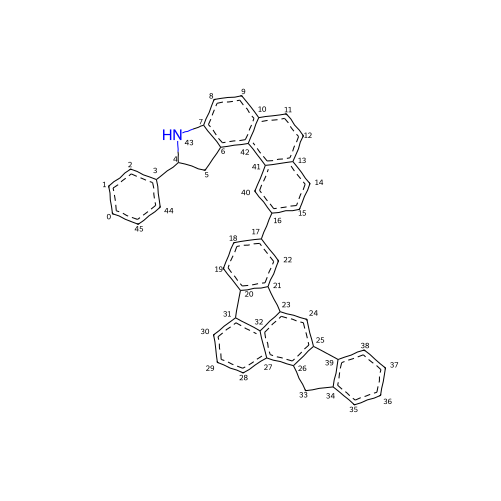 c1ccc(C2Cc3c(ccc4ccc5ccc(-c6ccc7c(c6)-c6cc8c(c9cccc-7c69)Cc6ccccc6-8)cc5c34)N2)cc1